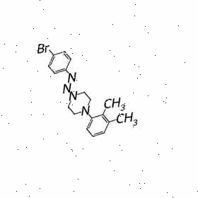 Cc1cccc(N2CCN(N=Nc3ccc(Br)cc3)CC2)c1C